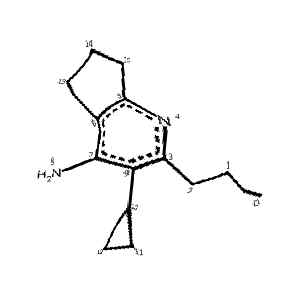 CCCc1nc2c(c(N)c1C1CC1)CCC2